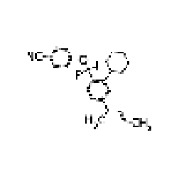 C/C=C/C(C)c1ccc(C(F)(F)Oc2ccc(C#N)cc2)c(C2CCCCC2)c1